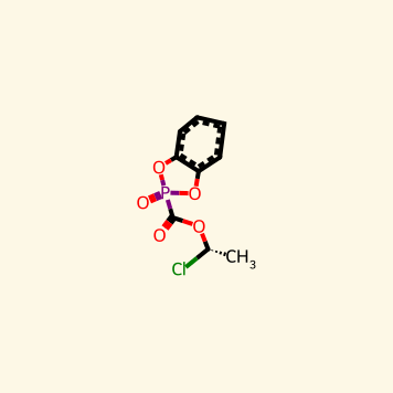 C[C@H](Cl)OC(=O)P1(=O)Oc2ccccc2O1